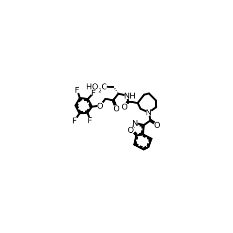 O=C(O)C[C@H](NC(=O)C1CCCCN(C(=O)c2noc3ccccc23)C1)C(=O)COc1c(F)c(F)cc(F)c1F